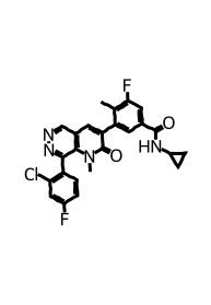 Cc1c(F)cc(C(=O)NC2CC2)cc1-c1cc2cnnc(-c3ccc(F)cc3Cl)c2n(C)c1=O